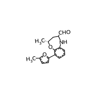 Cc1ccc(-c2cccc3c2O[C@H](C)CC(C=O)N3)o1